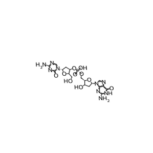 Nc1ncn([C@@H]2CC(OP(=O)(O)OC[C@H]3O[C@@H](n4cnc5c(=O)[nH]c(N)nc54)CC3O)C(CO)O2)c(=O)n1